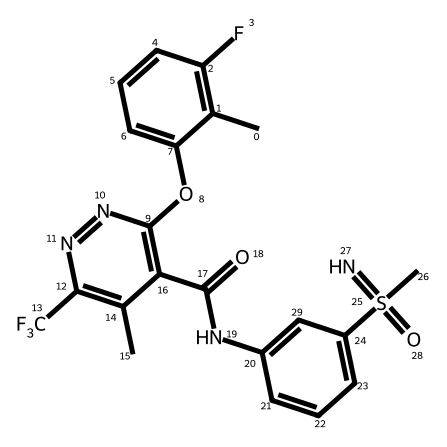 Cc1c(F)cccc1Oc1nnc(C(F)(F)F)c(C)c1C(=O)Nc1cccc(S(C)(=N)=O)c1